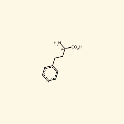 N[C@H](CCc1ccncc1)C(=O)O